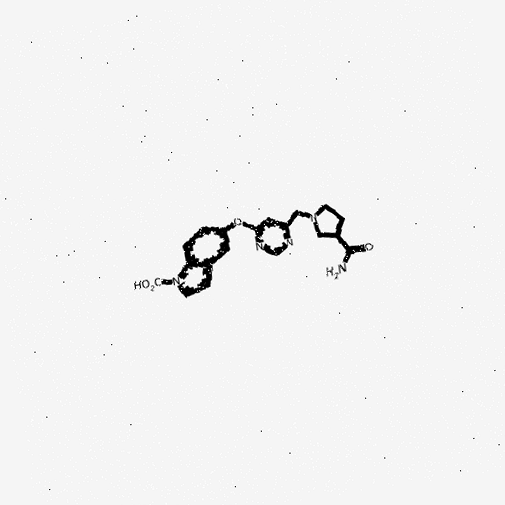 NC(=O)C1CCN(Cc2cc(Oc3ccc4c(ccn4C(=O)O)c3)ncn2)C1